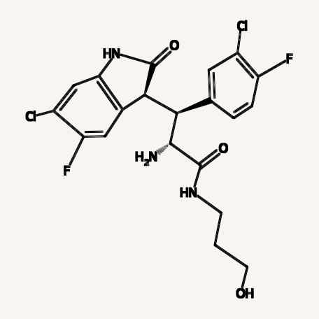 N[C@@H](C(=O)NCCCO)[C@H](c1ccc(F)c(Cl)c1)[C@@H]1C(=O)Nc2cc(Cl)c(F)cc21